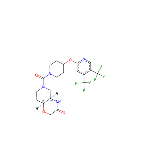 O=C1CO[C@H]2CCN(C(=O)N3CCC(Oc4cc(C(F)(F)F)c(C(F)(F)F)cn4)CC3)C[C@H]2N1